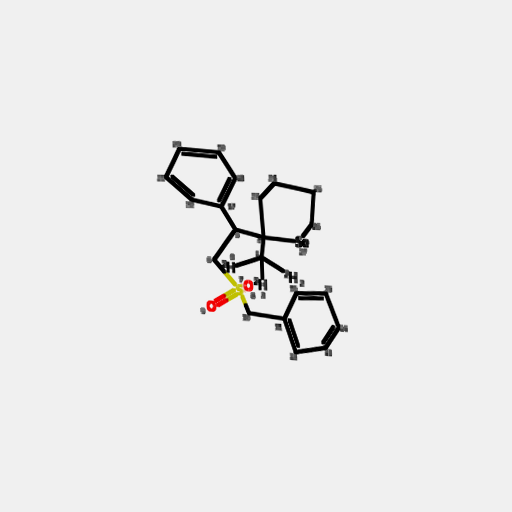 [2H]C([2H])([2H])C1(C(CS(=O)(=O)Cc2ccccc2)c2ccccc2)CCCC[Se]1